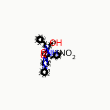 O=C(N[C@@H](Cc1ccc([N+](=O)[O-])cc1)C(=O)N1CCN(C2CCCCC2)CC1)N(CCO)CCc1ccccc1